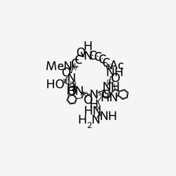 CN[C@H]1CCC(=O)NCCCC[C@@H](C(C)=O)NC(=O)[C@H](Cc2c[nH]c3ccccc23)NC(=O)[C@H](CCCNC(=N)N)NC(=O)[C@@H](Cc2ccccc2)NC(=O)[C@@H]2C[C@@H](O)CN2C1=O